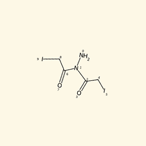 NN(C(=O)CI)C(=O)CI